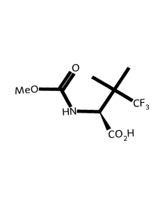 COC(=O)N[C@H](C(=O)O)C(C)(C)C(F)(F)F